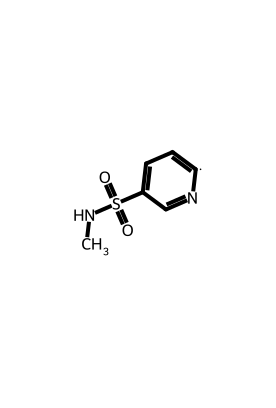 CNS(=O)(=O)c1cc[c]nc1